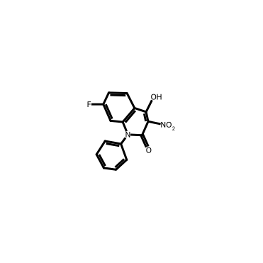 O=c1c([N+](=O)[O-])c(O)c2ccc(F)cc2n1-c1ccccc1